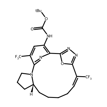 CC(C)(C)OC(=O)Nc1cc(C(F)(F)F)c2nc1-c1nnc(o1)/C(C(F)(F)F)=C\CCCC[C@@H]1CCCN21